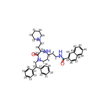 O=C(NCCC1CCN(CC(c2ccccc2)c2ccccc2)C(=O)C(CCN2CCCCC2)N1)c1ccc2ccccc2c1